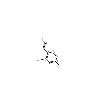 CC=Cc1ccc(F)cc1F